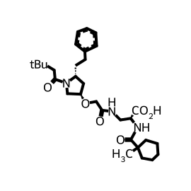 CC(C)(C)CC(=O)N1C[C@H](OCC(=O)NC[C@H](NC(=O)C2(C)CCCCC2)C(=O)O)C[C@H]1CCc1ccccc1